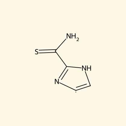 NC(=S)c1n[c]c[nH]1